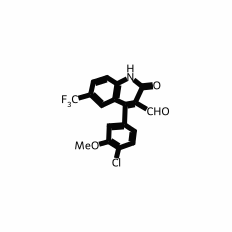 COc1cc(-c2c(C=O)c(=O)[nH]c3ccc(C(F)(F)F)cc23)ccc1Cl